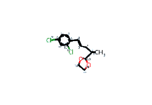 C[C](CC=Cc1ccc(Cl)cc1Cl)C1OCCO1